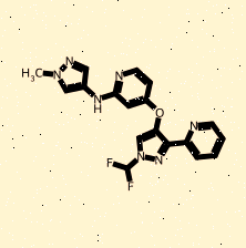 Cn1cc(Nc2cc(Oc3cn(C(F)F)nc3-c3ccccn3)ccn2)cn1